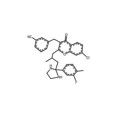 Cc1ccc(C2(CC(C)Cc3oc4cc(Cl)ccc4c(=O)c3Cc3cccc(C#N)c3)NCCN2)cc1F